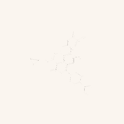 C=CC(O)N1CCN(c2nc(=O)n3c4c(c(-c5cc(Cl)c(F)cc5F)c(C(F)(F)F)cc24)SCC3COC2CC2)CC1